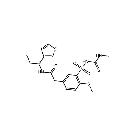 CCC(NC(=O)Cc1ccc(SC)c(S(=O)(=O)NC(=S)NC)c1)c1ccsc1